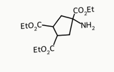 CCOC(=O)C1CC(N)(C(=O)OCC)CC1C(=O)OCC